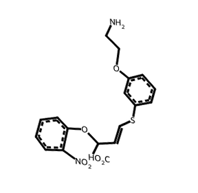 NCCOc1cccc(SC=CC(Oc2ccccc2[N+](=O)[O-])C(=O)O)c1